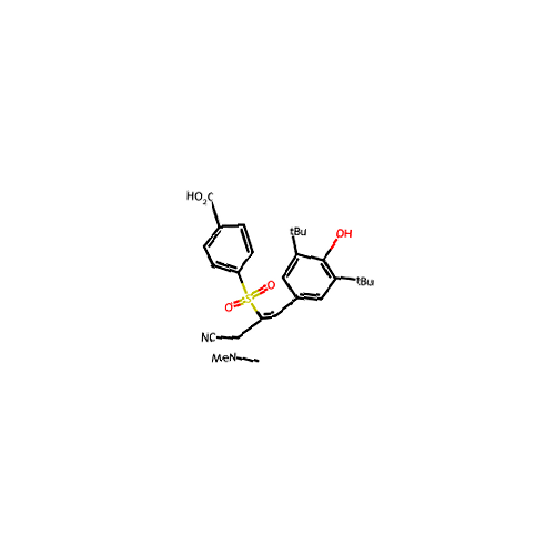 CC(C)(C)c1cc(C=C(CC#N)S(=O)(=O)c2ccc(C(=O)O)cc2)cc(C(C)(C)C)c1O.CNC